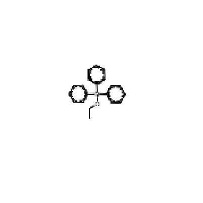 [CH2]CO[Si](c1ccccc1)(c1ccccc1)c1ccccc1